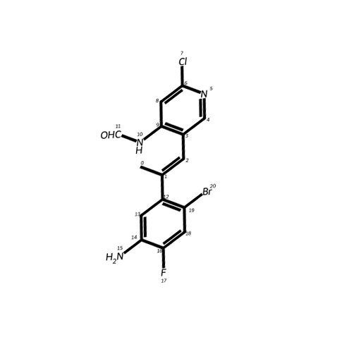 C/C(=C\c1cnc(Cl)cc1NC=O)c1cc(N)c(F)cc1Br